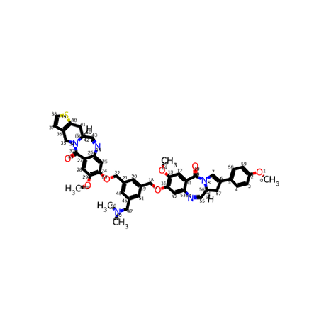 COc1ccc(C2=CN3C(=O)c4cc(OC)c(OCc5cc(COc6cc7c(cc6OC)C(=O)N6Cc8ccsc8C[C@H]6C=N7)cc(CN(C)C)c5)cc4N=C[C@@H]3C2)cc1